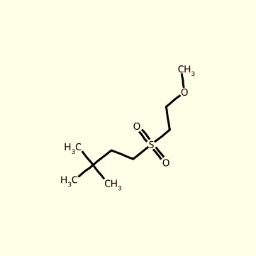 COCCS(=O)(=O)CCC(C)(C)C